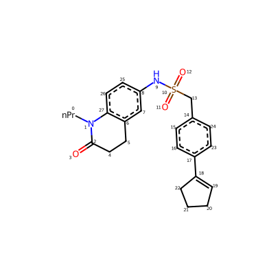 CCCN1C(=O)CCc2cc(NS(=O)(=O)Cc3ccc(C4=CCCC4)cc3)ccc21